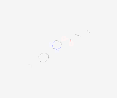 CCCCCCCCCC=CC(=O)Oc1cnc(-c2ccc(CCCCCCC)cc2)nc1